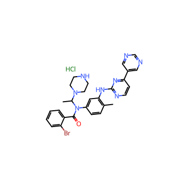 Cc1ccc(N(C(=O)c2ccccc2Br)C(C)N2CCNCC2)cc1Nc1nccc(-c2cncnc2)n1.Cl